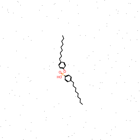 CCCCCCCCCc1ccc(OP(=O)(O)c2ccc(CCCCCCCCC)cc2)cc1